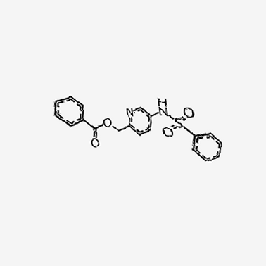 O=C(OCc1ccc(NS(=O)(=O)c2ccccc2)cn1)c1ccccc1